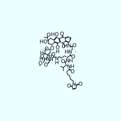 CO[C@H]1OCCN2[C@@H]1O[C@@H]1[C@H](C)OC(O[C@H]3C[C@](O)(C(C)=O)Cc4c(O)c5c(c(O)c43)C(=O)c3c(NC(=O)[C@H](C)NC(=O)[C@H](CCCNC(N)=O)NC(=O)[C@@H](NC(=O)CCCCCN4C(=O)C=CC4=O)C(C)C)cccc3C5=O)C[C@@H]12